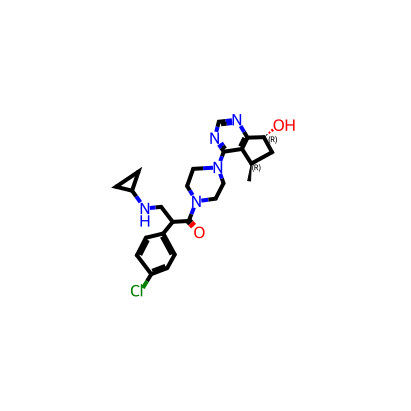 C[C@@H]1C[C@@H](O)c2ncnc(N3CCN(C(=O)C(CNC4CC4)c4ccc(Cl)cc4)CC3)c21